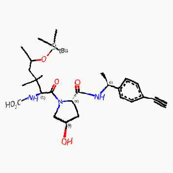 C#Cc1ccc([C@H](C)NC(=O)[C@@H]2C[C@@H](O)CN2C(=O)[C@@H](NC(=O)O)C(C)(C)CC(C)O[Si](C)(C)C(C)(C)C)cc1